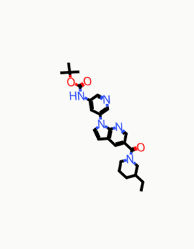 CCC1CCCN(C(=O)c2cnc3c(ccn3-c3cncc(NC(=O)OC(C)(C)C)c3)c2)C1